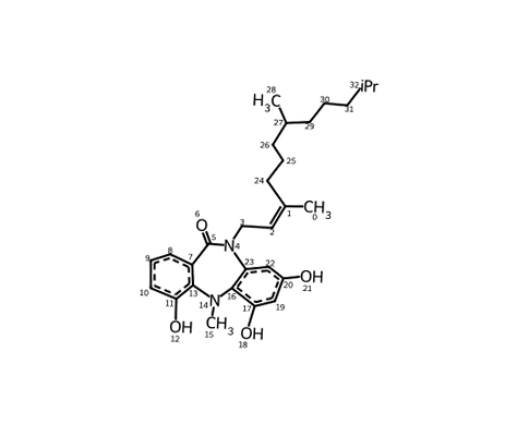 CC(=CCN1C(=O)c2cccc(O)c2N(C)c2c(O)cc(O)cc21)CCCC(C)CCCC(C)C